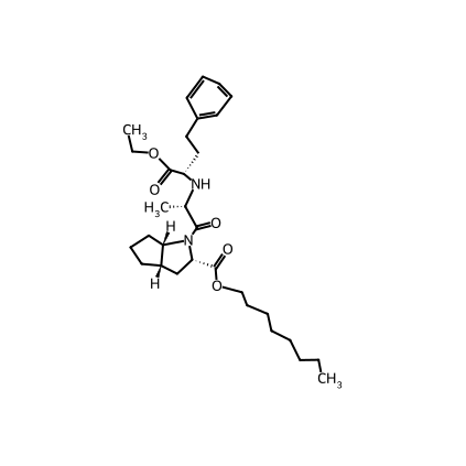 CCCCCCCCOC(=O)[C@@H]1C[C@@H]2CCC[C@@H]2N1C(=O)[C@H](C)N[C@@H](CCc1ccccc1)C(=O)OCC